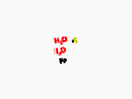 O.O.[Fe].[S]